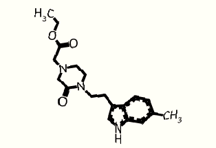 CCOC(=O)CN1CCN(CCc2c[nH]c3cc(C)ccc23)C(=O)C1